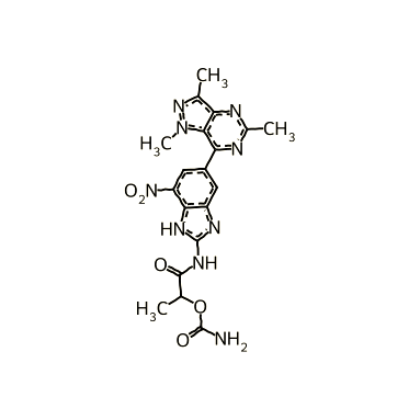 Cc1nc(-c2cc([N+](=O)[O-])c3[nH]c(NC(=O)C(C)OC(N)=O)nc3c2)c2c(n1)c(C)nn2C